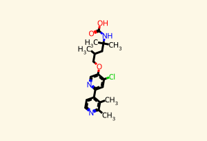 Cc1nccc(-c2cc(Cl)c(OCC(C)CC(C)(C)NC(=O)O)cn2)c1C